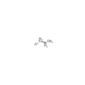 C[BH2-]C.[Li+]